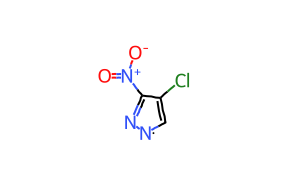 O=[N+]([O-])C1=N[N]C=C1Cl